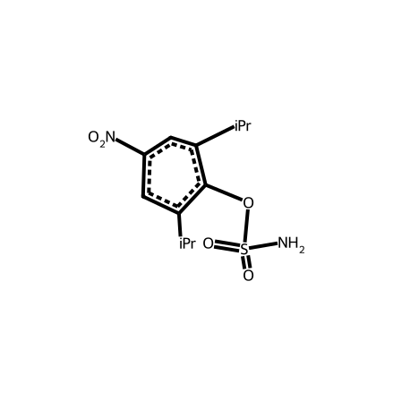 CC(C)c1cc([N+](=O)[O-])cc(C(C)C)c1OS(N)(=O)=O